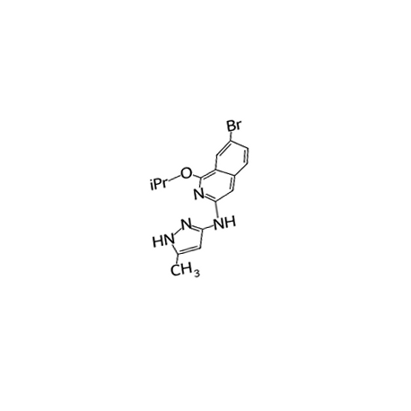 Cc1cc(Nc2cc3ccc(Br)cc3c(OC(C)C)n2)n[nH]1